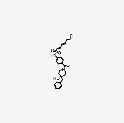 O=C(c1ccc(NS(=O)(=O)C=CC=CCCCl)cc1)N1CCC(O)(Cc2ccccc2)CC1